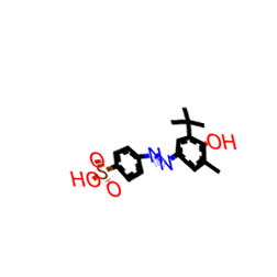 Cc1cc(/N=N/c2ccc(S(=O)(=O)O)cc2)cc(C(C)(C)C)c1O